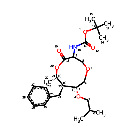 CC(C)CO[C@H]1COCC(NC(=O)OC(C)(C)C)C(=O)O[C@@H](C)[C@@H]1Cc1ccccc1